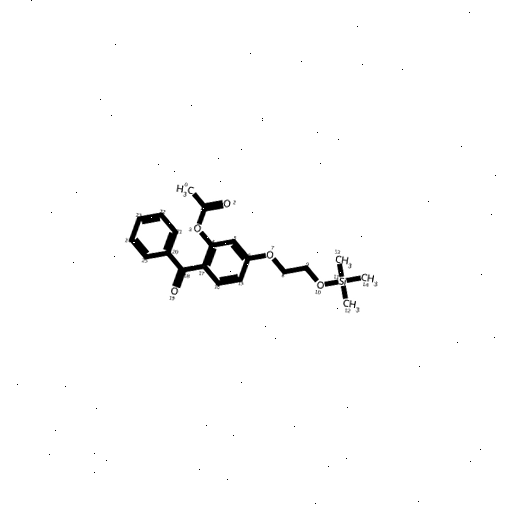 CC(=O)Oc1cc(OCCO[Si](C)(C)C)ccc1C(=O)c1ccccc1